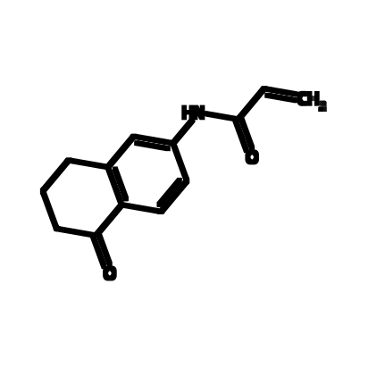 C=CC(=O)Nc1ccc2c(c1)CCCC2=O